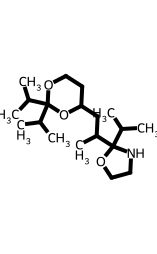 CC(C)C1(C(C)CC2CCOC(C(C)C)(C(C)C)O2)NCCO1